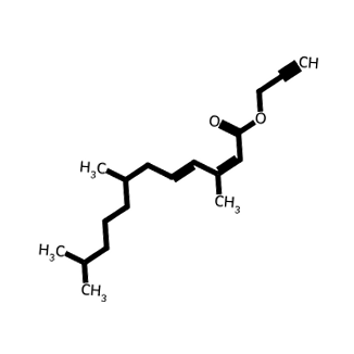 C#CCOC(=O)C=C(C)C=CCC(C)CCCC(C)C